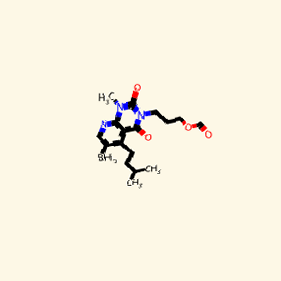 Bc1cnc2c(c1CCC(C)C)c(=O)n(CCCOC=O)c(=O)n2C